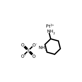 N.NC1CCCCC1.O=S(=O)([O-])[O-].[Pt+2]